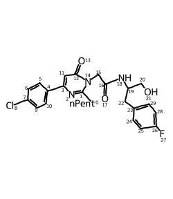 CCCCCc1nc(-c2ccc(Cl)cc2)cc(=O)n1CC(=O)NC(CO)Cc1ccc(F)cc1